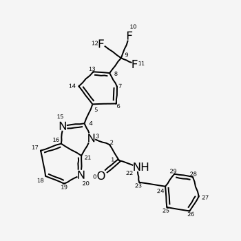 O=C(Cn1c(-c2ccc(C(F)(F)F)cc2)nc2cccnc21)NCc1ccccc1